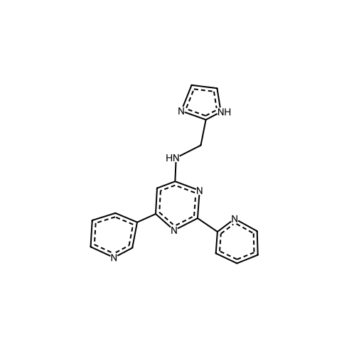 c1ccc(-c2nc(NCc3ncc[nH]3)cc(-c3cccnc3)n2)nc1